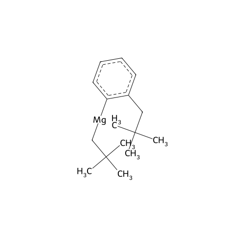 CC(C)(C)[CH2][Mg][c]1ccccc1CC(C)(C)C